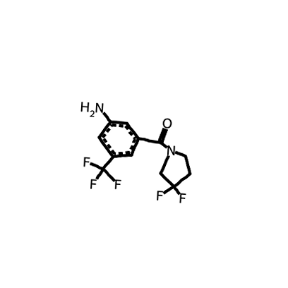 Nc1cc(C(=O)N2CCC(F)(F)C2)cc(C(F)(F)F)c1